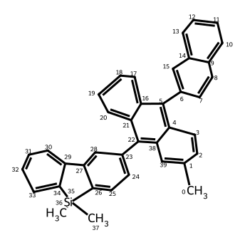 Cc1ccc2c(-c3ccc4ccccc4c3)c3ccccc3c(-c3ccc4c(c3)-c3ccccc3[Si]4(C)C)c2c1